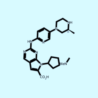 CNC.C[C@H]1CN(c2ccc(Nc3ncc4cc(C(=O)O)n(C5CCCC5)c4n3)nc2)CCN1